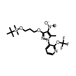 Cc1c([N+](=O)[O-])c(OCCCO[Si](C)(C)C(C)(C)C)nn1-c1cccnc1OC(F)(F)F